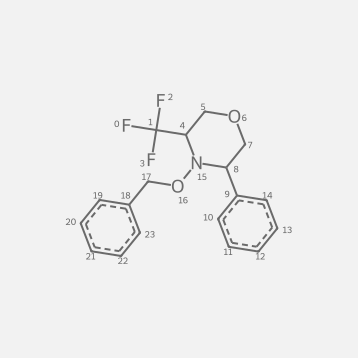 FC(F)(F)C1COCC(c2ccccc2)N1OCc1ccccc1